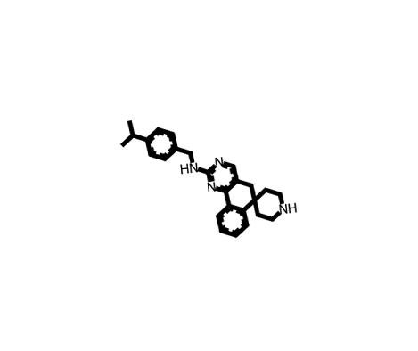 CC(C)c1ccc(CNc2ncc3c(n2)-c2ccccc2C2(CCNCC2)C3)cc1